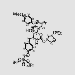 CCO[C@H]1C[C@@H](OC(=O)N[C@@H](Cc2ccc(OCP(=O)(OC(C)C)OC(C)C)cc2)[C@H](O)CN(CC(C)C)S(=O)(=O)c2ccc(OC)cc2)CO1